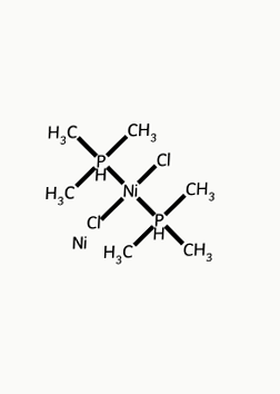 C[PH](C)(C)[Ni]([Cl])([Cl])[PH](C)(C)C.[Ni]